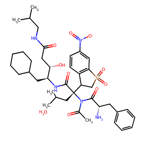 CC(=O)N(C(=O)[C@@H](N)Cc1ccccc1)[C@](CC(C)C)(C(=O)N[C@@H](CC1CCCCC1)[C@@H](O)CC(=O)NCC(C)C)C1CS(=O)(=O)c2cc([N+](=O)[O-])ccc21.O